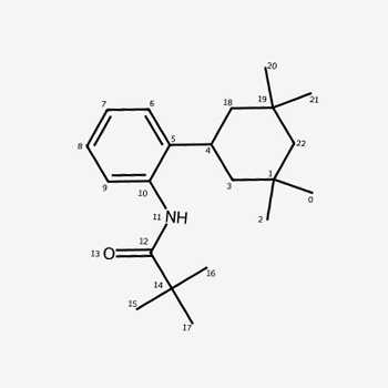 CC1(C)CC(c2ccccc2NC(=O)C(C)(C)C)CC(C)(C)C1